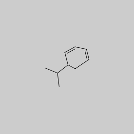 CC(C)[C]1C=CC=CC1